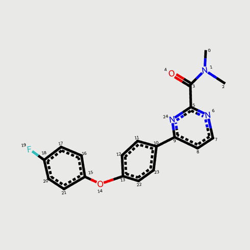 CN(C)C(=O)c1nccc(-c2ccc(Oc3ccc(F)cc3)cc2)n1